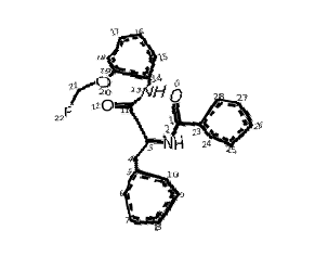 O=C(NC(Cc1ccccc1)C(=O)Nc1ccccc1OCF)c1ccccc1